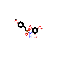 COc1ccc(CCS(=O)(=O)Nc2c(OC)cc(OC)cc2OC)cc1